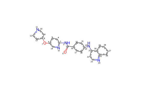 O=C(Nc1ccc(Oc2ccncc2)cn1)c1ccc(Nc2ccnc3ccccc23)cc1